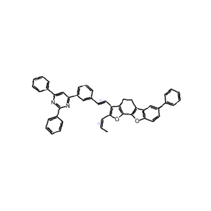 C/C=C\c1oc2c(c1/C=C/c1cccc(-c3cc(-c4ccccc4)nc(-c4ccccc4)n3)c1)CCc1c-2oc2ccc(-c3ccccc3)cc12